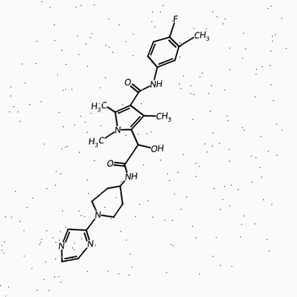 Cc1cc(NC(=O)c2c(C)c(C(O)C(=O)NC3CCN(c4cnccn4)CC3)n(C)c2C)ccc1F